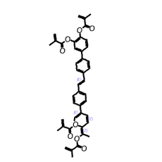 C=C(C)C(=O)O/C(C)=C(/C=C\C(=C/C)c1ccc(/C=C/c2ccc(-c3ccc(OC(=O)C(=C)C)c(OC(=O)C(=C)C)c3)cc2)cc1)OC(=O)C(=C)C